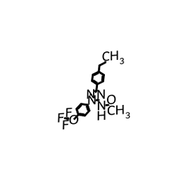 CCCc1ccc(-c2nc(NC(C)=O)n(-c3ccc(OC(F)(F)F)cc3)n2)cc1